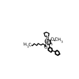 CCCCCCCC(=O)N(C)C(CC(OCC)C(=O)N1CCCCC1)c1cccc(-c2ccccc2)c1